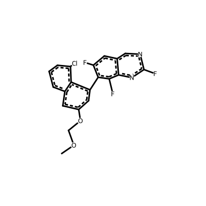 COCOc1cc(-c2c(F)cc3cnc(F)nc3c2F)c2c(Cl)cccc2c1